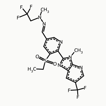 CCS(=O)(=O)c1cc(/C=N/N(C)CC(F)(F)F)cnc1-c1nc2cc(C(F)(F)F)cnc2n1C